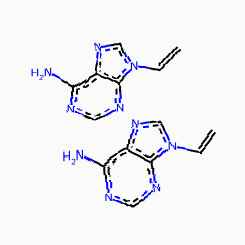 C=Cn1cnc2c(N)ncnc21.C=Cn1cnc2c(N)ncnc21